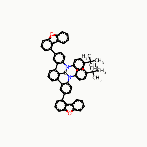 CC(C)(C)c1ccc(N2B3c4c(cccc4-c4cc(-c5cccc6oc7ccccc7c56)ccc4N3c3ccc(C(C)(C)C)cc3)-c3cc(-c4cccc5oc6ccccc6c45)ccc32)cc1